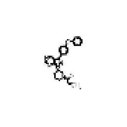 C=CC(=O)N1CCC[C@@H](n2nc(-c3ccc(Oc4ccccc4)cc3)c3cncnc32)C1